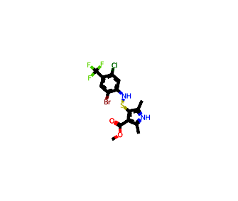 COC(=O)c1c(C)[nH]c(C)c1SNc1cc(Cl)c(C(F)(F)F)cc1Br